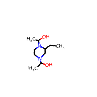 CCC1CN(C(C)O)CCN1C(C)O